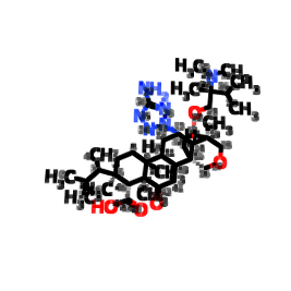 CC(C)[C@@H](C)[C@@]1(C)CC[C@]2(C)[C@H]3CC[C@@H]4[C@@]5(COC[C@]4(C)[C@@H](OC[C@@](C)(C(C)C)N(C)C)[C@H](n4nnc(N)n4)C5)C3=CC(=O)[C@@]2(C)[C@@H]1C(=O)O